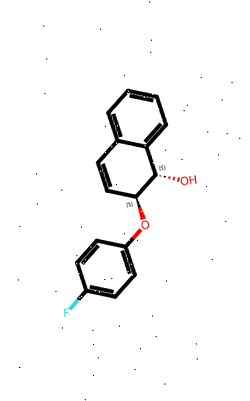 O[C@H]1c2ccccc2C=C[C@@H]1Oc1ccc(F)cc1